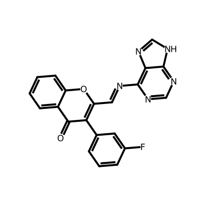 O=c1c(-c2cccc(F)c2)c(/C=N/c2ncnc3[nH]cnc23)oc2ccccc12